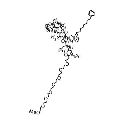 CCCN(CC(=O)N[C@@H](CC(C)C)C(=O)N[C@@H](Cc1cncn1CCCCCCCCc1ccccc1)C(=O)N[C@@H](C)C(=O)N[C@@H](C(N)=O)[C@@H](C)CP(=O)(O)O)C(=O)CCOCCOCCOCCOCCOCCOCCOCCOC